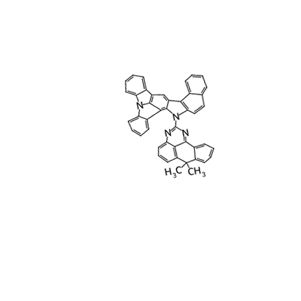 CC1(C)c2ccccc2-c2nc(-n3c4ccc5ccccc5c4c4cc5c6ccccc6n6c7ccccc7c(c43)c56)nc3cccc1c23